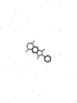 CN1CCN(C)c2cc3c(cc21)N(C)C(c1ccccc1)N3C